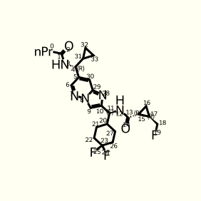 CCCC(=O)N[C@@H](c1cnn2cc([C@@H](NC(=O)[C@@H]3C[C@H]3CF)C3CCC(F)(F)CC3)nc2c1)C1CC1